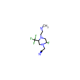 C=NCCN1CC(F)N(CC#N)CC1C(F)(F)F